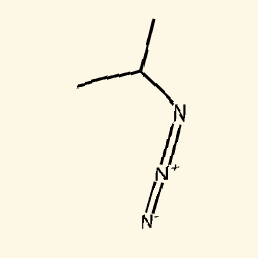 CC(C)N=[N+]=[N-]